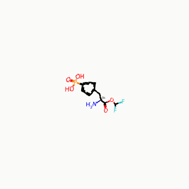 N[C@@H](Cc1ccc(P(=O)(O)O)cc1)C(=O)OC(F)F